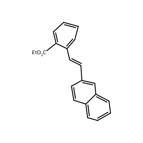 CCOC(=O)c1ccccc1/C=C/c1ccc2ccccc2c1